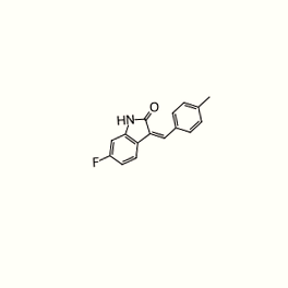 Cc1ccc(C=C2C(=O)Nc3cc(F)ccc32)cc1